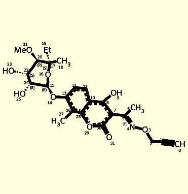 C#CCO/N=C(\C)c1c(O)c2ccc(O[C@@H]3O[C@@](C)(CC)[C@H](OC)[C@@H](O)[C@H]3O)c(C)c2oc1=O